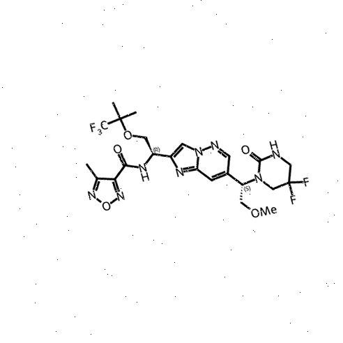 COC[C@H](c1cnn2cc([C@H](COC(C)(C)C(F)(F)F)NC(=O)c3nonc3C)nc2c1)N1CC(F)(F)CNC1=O